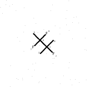 CC(C)(F)C(C)(F)F